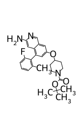 Cc1cccc(F)c1-c1cc(OC2CCN(C(=O)OC(C)(C)C)CC2)cc2cnc(N)cc12